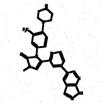 Cn1cc(-c2cc(-c3cnc4[nH]ncc4c3)ccn2)n(-c2ccc(N3CCNCC3)c(C(F)(F)F)c2)c1=O